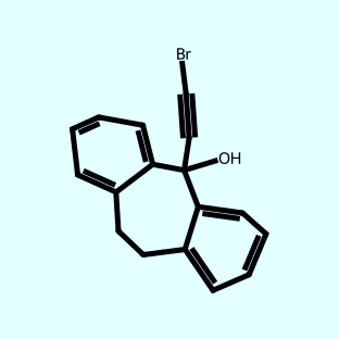 OC1(C#CBr)c2ccccc2CCc2ccccc21